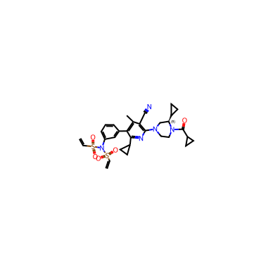 C=CS(=O)(=O)N(c1cccc(-c2c(C3CC3)nc(N3CCN(C(=O)C4CC4)[C@H](C4CC4)C3)c(C#N)c2C)c1)S(=O)(=O)C=C